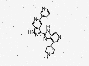 CN1CCC(c2cncc3[nH]c(-c4n[nH]c5cnc(-c6cccnc6)cc45)nc23)CC1